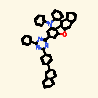 c1ccc(-c2nc(-c3ccc(-c4ccc5ccccc5c4)cc3)nc(-c3cc(N(c4ccccc4)c4ccccc4)c4c(c3)oc3cc5ccccc5cc34)n2)cc1